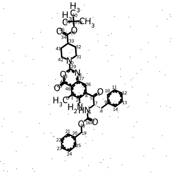 Cc1c(N)c(C(=O)[C@H](Cc2ccccc2)NC(=O)OCc2ccccc2)cc2nc(N3CCC(C(=O)OC(C)(C)C)CC3)oc(=O)c12